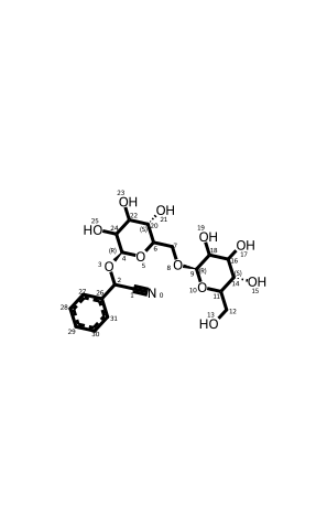 N#CC(O[C@@H]1OC(CO[C@@H]2OC(CO)[C@@H](O)C(O)C2O)[C@@H](O)C(O)C1O)c1ccccc1